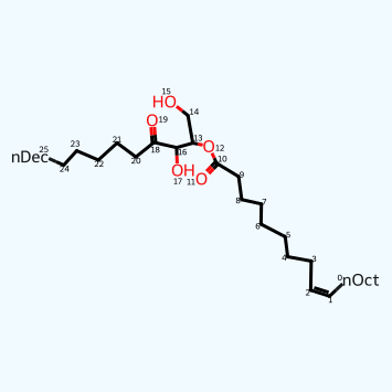 CCCCCCCC/C=C\CCCCCCCC(=O)OC(CO)C(O)C(=O)CCCCCCCCCCCCCCC